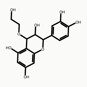 OCCOC1c2c(O)cc(O)cc2OC(c2ccc(O)c(O)c2)C1O